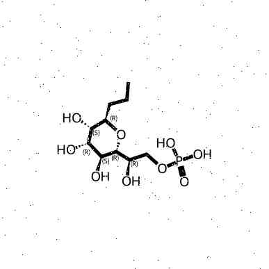 CCC[C@H]1O[C@H]([C@H](O)COP(=O)(O)O)[C@@H](O)[C@H](O)[C@@H]1O